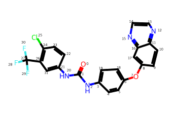 O=C(Nc1ccc(Oc2ccc3nccnc3c2)cc1)Nc1ccc(Cl)c(C(F)(F)F)c1